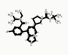 CCN(C(=O)c1cc(F)ccc1-c1cc(C2CCN(C(=O)OC(C)(C)C)C2)cn2cncc12)C(C)C